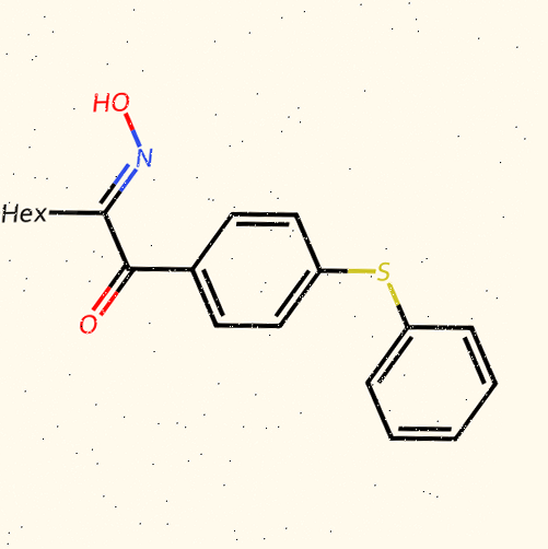 CCCCCCC(=NO)C(=O)c1ccc(Sc2ccccc2)cc1